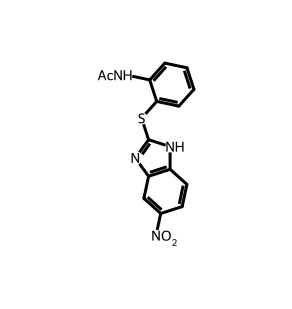 CC(=O)Nc1ccccc1Sc1nc2cc([N+](=O)[O-])ccc2[nH]1